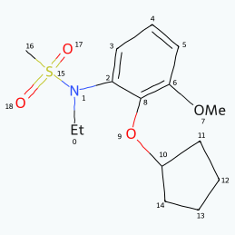 CCN(c1cccc(OC)c1OC1CCCC1)S(C)(=O)=O